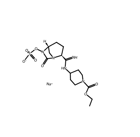 CCOC(=O)N1CCC(NC(=N)[C@@H]2CC[C@@H]3CN2C(=O)N3OS(=O)(=O)[O-])CC1.[Na+]